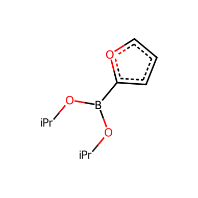 CC(C)OB(OC(C)C)c1ccco1